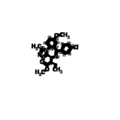 CC[C@@H](C(=O)OC)[C@@H]1N=C(c2ccc(Cl)cc2)c2cc(OC)ccc2-n2c(C)nnc21